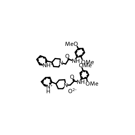 COc1ccc(OC)c(NC(=O)CN2CCC(c3cccc[nH+]3)CC2)c1.COc1ccc(OC)c(NC(=O)CN2CCC(c3cccc[nH+]3)CC2)c1.[O-2]